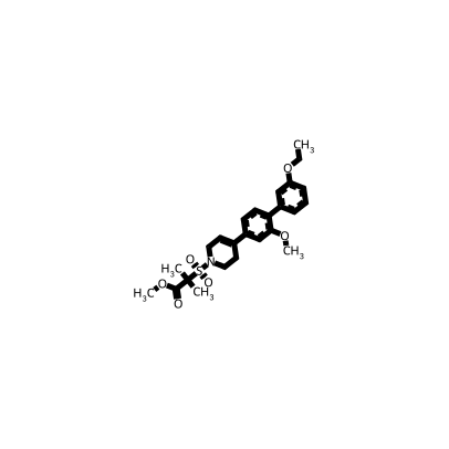 CCOc1cccc(-c2ccc(C3=CCN(S(=O)(=O)C(C)(C)C(=O)OC)CC3)cc2OC)c1